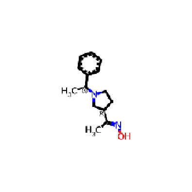 CC(=NO)[C@@H]1CCN([C@@H](C)c2ccccc2)C1